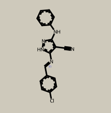 N#Cc1c(Nc2ccccc2)n[nH]c1/N=C/c1ccc(Cl)cc1